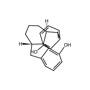 Oc1cccc2c1C13c4c(O)cccc4C[C@@H]1CCC[C@H]3C2